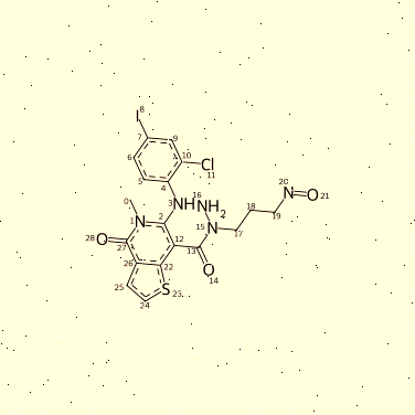 Cn1c(Nc2ccc(I)cc2Cl)c(C(=O)N(N)CCCN=O)c2sccc2c1=O